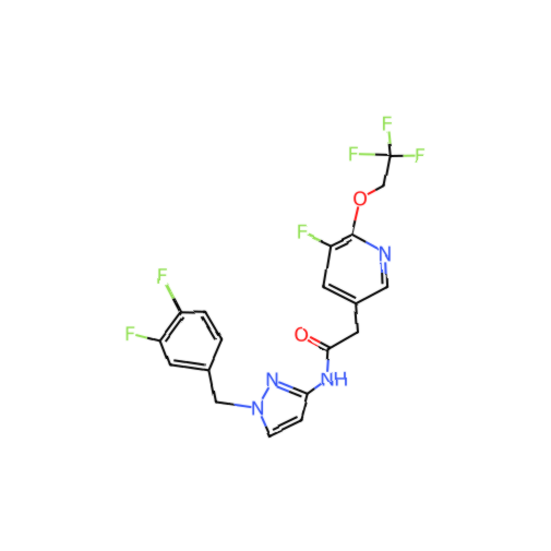 O=C(Cc1cnc(OCC(F)(F)F)c(F)c1)Nc1ccn(Cc2ccc(F)c(F)c2)n1